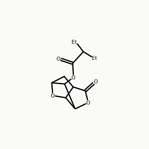 CCC(CC)C(=O)OC1C2CC3C(=O)OC1C3O2